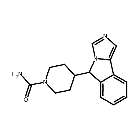 NC(=O)N1CCC(C2c3ccccc3-c3cncn32)CC1